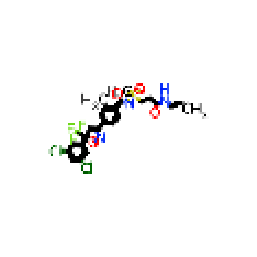 CCCNC(=O)CCS(C)(=O)=NC(=O)c1ccc(C2=NOC(c3cc(Cl)cc(Cl)c3)(C(F)(F)F)C2)cc1C